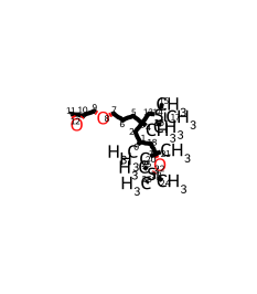 CC(CC(C)(CCCOCC1CO1)C[Si](C)(C)C)CC(C)(C)O[Si](C)(C)C